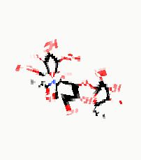 CC(=O)N[C@@H](C=O)[C@@H](O[C@@H]1O[C@H](CO)[C@H](O)[C@H](O)[C@H]1O)[C@H](O[C@@H]1O[C@@H](C)[C@@H](O)[C@@H](O)[C@@H]1O)[C@H](O)CO